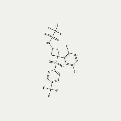 O=S(=O)(NC1CC(c2cc(F)ccc2F)(S(=O)(=O)c2ccc(C(F)(F)F)cc2)C1)C(F)(F)F